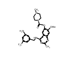 COc1cc2nc(C)nc(NCc3cc(N)cc(C(F)(F)F)c3)c2cc1OC(=O)N1CCN(C)CC1